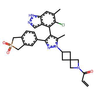 C=CC(=O)N1CC2(CC(n3nc(-c4ccc5c(c4)CS(=O)(=O)C5)c(-c4c(Cl)c(C)cc5[nH]ncc45)c3C)C2)C1